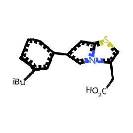 CCC(C)c1cccc(-c2cc3scc(CC(=O)O)n3c2)c1